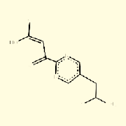 C/C(O)=C/C(=O)c1ncc(CC(C)C)cn1